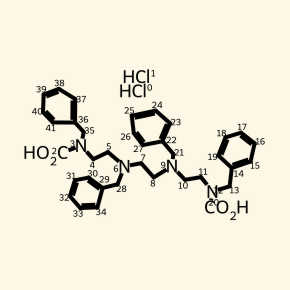 Cl.Cl.O=C(O)N(CCN(CCN(CCN(Cc1ccccc1)C(=O)O)Cc1ccccc1)Cc1ccccc1)Cc1ccccc1